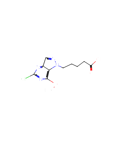 COc1nc(Cl)nc2cnn(CCCCC(=O)O)c12